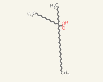 CCCCCCCCCCCCCCCCCCCCC(C(=O)O)C(CCCCCCCC)CCCCCCCCCCC